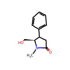 CN1C(=O)CC(c2ccccc2)[C@@H]1CO